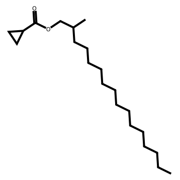 CCCCCCCCCCCCCCC(C)COC(=O)C1CC1